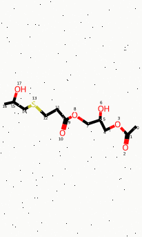 CC(=O)OCC(O)COC(=O)CCSCC(C)O